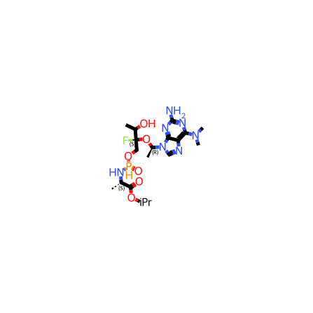 CC(C)OC(=O)[C@H](C)N[PH](=O)OC[C@@](F)(O[C@H](C)n1cnc2c(N(C)C)nc(N)nc21)C(C)O